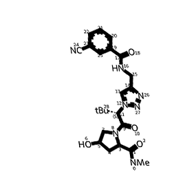 CNC(=O)C1CC(O)CN1C(=O)[C@@H](n1cc(CNC(=O)c2cccc(C#N)c2)nn1)C(C)(C)C